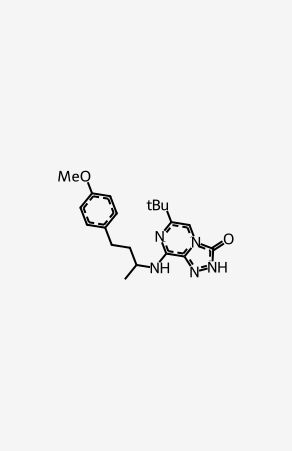 COc1ccc(CCC(C)Nc2nc(C(C)(C)C)cn3c(=O)[nH]nc23)cc1